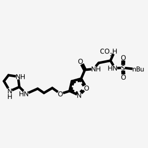 CCCCS(=O)(=O)NC(CNC(=O)c1cc(OCCCNC2NCCN2)no1)C(=O)O